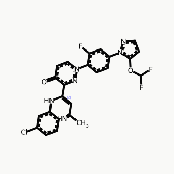 CC(=N)/C=C(\Nc1cccc(Cl)c1)c1nn(-c2ccc(-n3nccc3OC(F)F)cc2F)ccc1=O